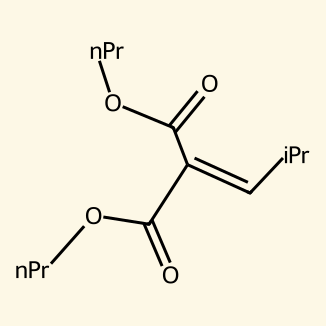 CCCOC(=O)C(=CC(C)C)C(=O)OCCC